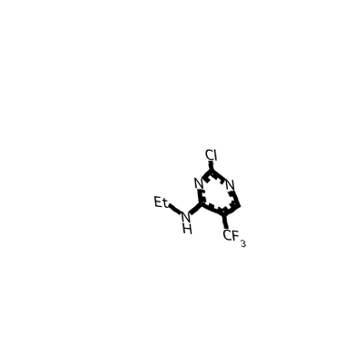 CCNc1nc(Cl)ncc1C(F)(F)F